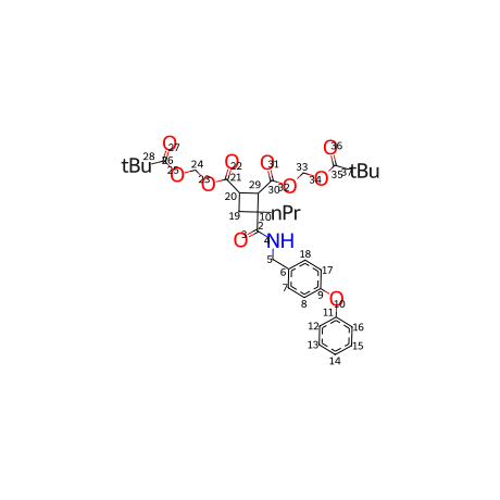 CCCC1(C(=O)NCc2ccc(Oc3ccccc3)cc2)CC(C(=O)OCOC(=O)C(C)(C)C)C1C(=O)OCOC(=O)C(C)(C)C